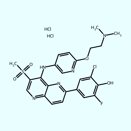 CN(C)CCOc1ccc(Nc2c(S(C)(=O)=O)cnc3ccc(-c4cc(F)c(O)c(Cl)c4)nc23)cn1.Cl.Cl